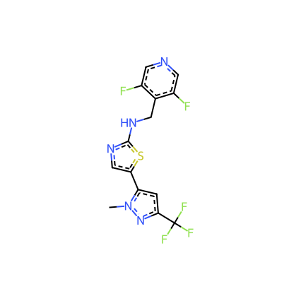 Cn1nc(C(F)(F)F)cc1-c1cnc(NCc2c(F)cncc2F)s1